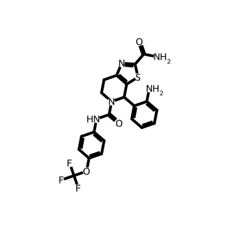 NC(=O)c1nc2c(s1)C(c1ccccc1N)N(C(=O)Nc1ccc(OC(F)(F)F)cc1)CC2